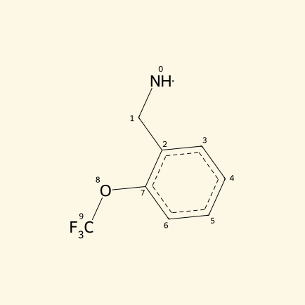 [NH]Cc1ccccc1OC(F)(F)F